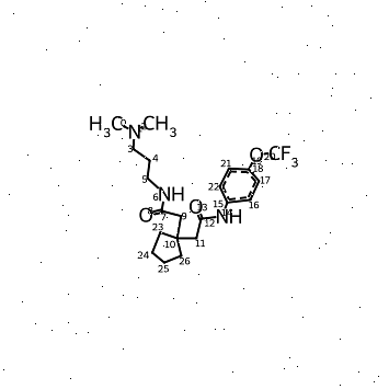 CN(C)CCCNC(=O)CC1(CC(=O)Nc2ccc(OC(F)(F)F)cc2)CCCC1